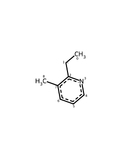 C[CH]c1ncccc1C